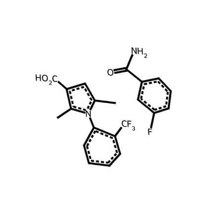 Cc1cc(C(=O)O)c(C)n1-c1ccccc1C(F)(F)F.NC(=O)c1cccc(F)c1